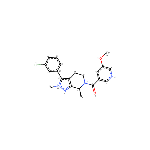 CC(C)Oc1cncc(C(=O)N2CCc3c(nn(C)c3-c3cccc(Cl)c3)[C@@H]2C)c1